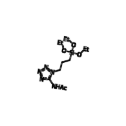 CCO[Si](CCCn1nnnc1NC(C)=O)(OCC)OCC